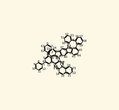 c1ccc(-c2cc(-c3ccccc3)cc(-c3nc4ccc5ccccc5c4nc3-n3c4ccccc4c4cc5c(cc43)c3cccc4c3n5-c3ccccc3-c3ccccc3-4)c2)cc1